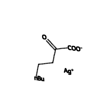 CCCCCCC(=O)C(=O)[O-].[Ag+]